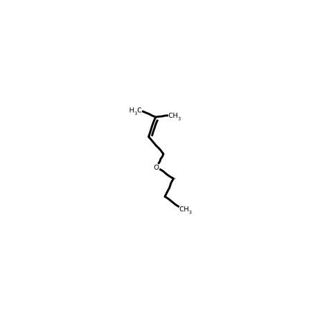 CC[CH]OCC=C(C)C